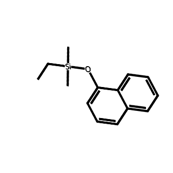 CC[Si](C)(C)Oc1cccc2ccccc12